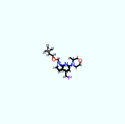 CC1COCCN1c1cc(CI)c2ccn(COCC[Si](C)(C)C)c2n1